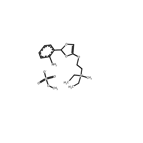 CC[N+](C)(CC)CCOC1=COC(c2ccccc2N)O1.COS(=O)(=O)[O-]